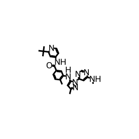 CNc1cc(-n2nc(C)cc2Nc2cc(C(=O)Nc3ccnc(C(C)(C)C)c3)ccc2C)ncn1